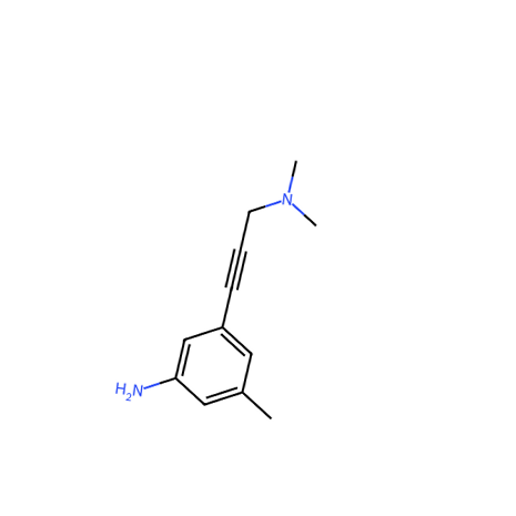 Cc1cc(N)cc(C#CCN(C)C)c1